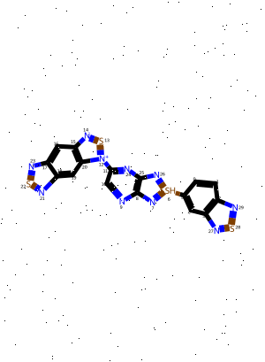 c1cc2c(cc1[SH]1=Nc3ncc([N+]4=S=Nc5cc6c(cc54)N=S=N6)nc3N=1)N=S=N2